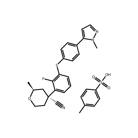 C[C@H]1C[C@@](C#N)(c2cccc(Sc3ccc(-c4ccnn4C)cc3)c2F)CCO1.Cc1ccc(S(=O)(=O)O)cc1